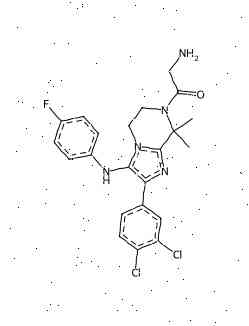 CC1(C)c2nc(-c3ccc(Cl)c(Cl)c3)c(Nc3ccc(F)cc3)n2CCN1C(=O)CN